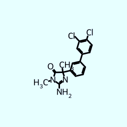 CN1C(=O)C(C)(c2cccc(-c3ccc(Cl)c(Cl)c3)c2)N=C1N